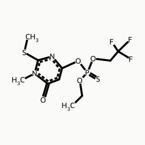 CCOP(=S)(OCC(F)(F)F)Oc1cc(=O)n(C)c(SC)n1